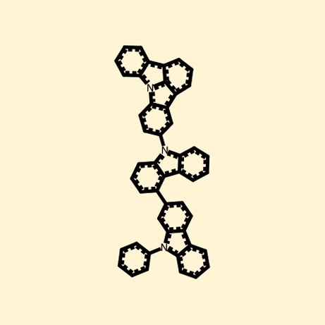 c1ccc(-n2c3ccccc3c3ccc(-c4cccc5c4c4ccccc4n5-c4ccc5c(c4)c4cccc6c7ccccc7n5c64)cc32)cc1